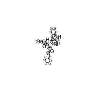 C[C@H](NC(=O)C[C@H](CC(=O)OCc1ccccc1)NC(=O)OC(C)(C)C)C(=O)Nc1ccccc1